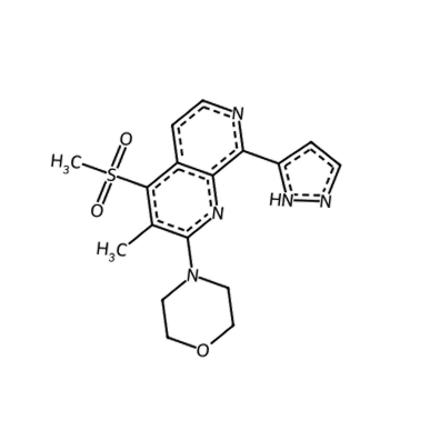 Cc1c(N2CCOCC2)nc2c(-c3ccn[nH]3)nccc2c1S(C)(=O)=O